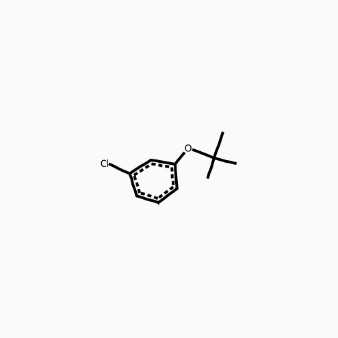 CC(C)(C)Oc1c[c]cc(Cl)c1